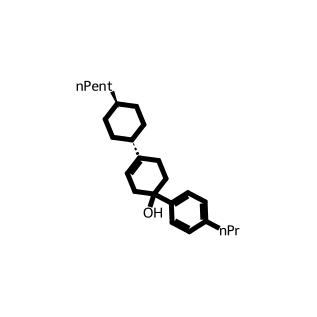 CCCCC[C@H]1CC[C@H](C2=CCC(O)(c3ccc(CCC)cc3)CC2)CC1